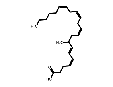 CCCCC/C=C\C/C=C\C/C=C\CC(C)/C=C/C=C\CCC(=O)O